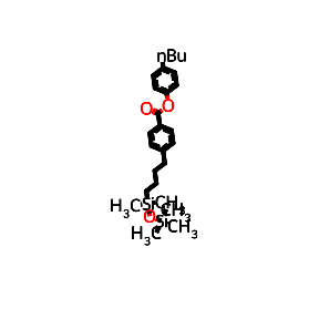 CCCCc1ccc(OC(=O)c2ccc(CCCC[Si](C)(C)O[Si](C)(C)C)cc2)cc1